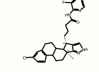 C[C@]12CCC3c4ccc(Cl)cc4CCC3C1[C@H](CCCC(=O)Nc1ncccc1F)c1c[nH]nc12